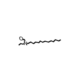 CCCCCCCCCCCCCCN(C=O)CCC